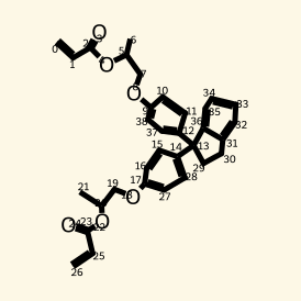 C=CC(=O)OC(C)COc1ccc(C2(c3ccc(OCC(C)OC(=O)C=C)cc3)CCc3ccccc32)cc1